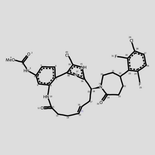 COC(=O)Nc1ccc2c(c1)NC(=O)CC/C=C/C[C@H](N1CCC(c3c(F)ccc(Cl)c3F)CCC1=O)c1nc-2c(Cl)[nH]1